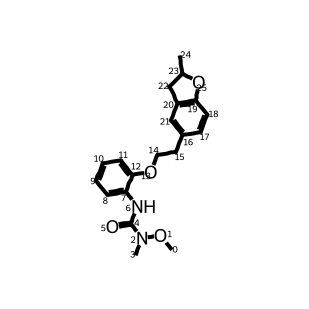 CON(C)C(=O)Nc1ccccc1OCCc1ccc2c(c1)CC(C)O2